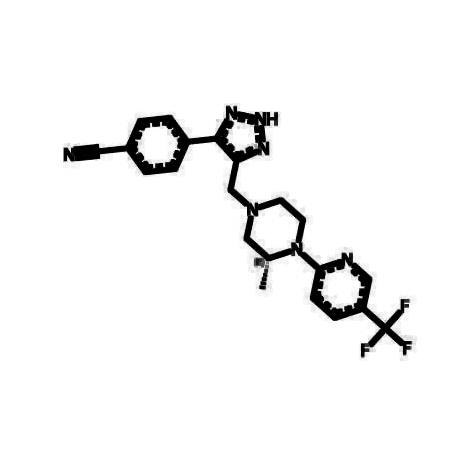 C[C@@H]1CN(Cc2n[nH]nc2-c2ccc(C#N)cc2)CCN1c1ccc(C(F)(F)F)cn1